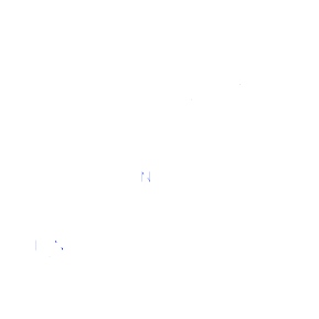 NCCN1CCC2(CC2)c2ccccc21